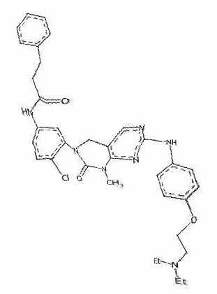 CCN(CC)CCOc1ccc(Nc2ncc3c(n2)N(C)C(=O)N(c2cc(NC(=O)CCc4ccccc4)ccc2Cl)C3)cc1